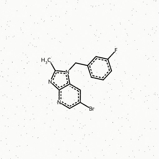 Cc1nc2ncc(Br)cc2n1Cc1cccc(F)c1